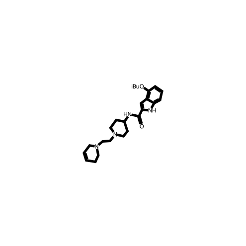 CC(C)COc1cccc2[nH]c(C(=O)NC3CCN(CCN4CC=CCC4)CC3)cc12